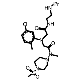 Cc1ccc(Cl)cc1N(CC(=O)NCCNC(C)C)CC(=O)N(C)N1CCN(S(C)(=O)=O)CC1